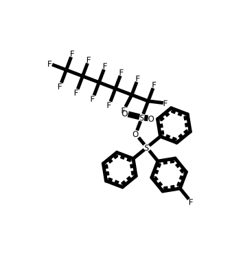 O=S(=O)(OS(c1ccccc1)(c1ccccc1)c1ccc(F)cc1)C(F)(F)C(F)(F)C(F)(F)C(F)(F)C(F)(F)C(F)(F)F